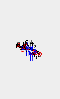 C=C(/C=C\C(=C/C)N(CC)CC)[C@H]1CN(Cc2ccc(OC)cc2)C(=O)N1c1ccc(NCCN(CC)c2ccc([C@H]3CN(Cc4ccc(OC)cc4)C(=O)N3c3ccc4[nH]cnc4c3)cc2)c(N)c1